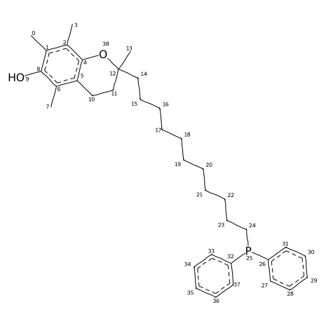 Cc1c(C)c2c(c(C)c1O)CCC(C)(CCCCCCCCCCCP(c1ccccc1)c1ccccc1)O2